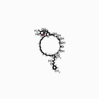 Cc1ccc(C(=O)CC(O)CC[C@H](C)[C@H]2OC(=O)CC(O)CC(=O)C[C@H](O)C[C@H](O)C[C@H](O)C[C@H](O)C[C@]3(O)C[C@H](O)[C@@H](C(=O)O)C(C[C@@H](O[C@@H]4O[C@H](C)[C@@H](O)[C@H](N)[C@@H]4O)/C=C/C=C/C=C/C=C\C=C/C=C/C=C/[C@@H]2C)O3)cc1